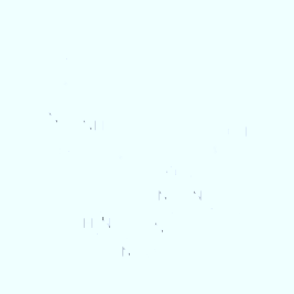 CC#CC(=O)N1C2(c3nc(-c4ccc(C(=O)Nc5cc(C(F)(F)F)ccn5)cc4C)c4c(N)nccn34)CCC3CCC312